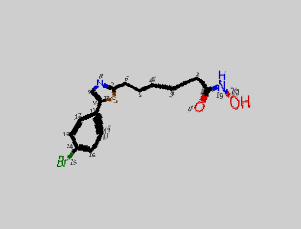 O=C(CCCCCc1ncc(-c2ccc(Br)cc2)s1)NO